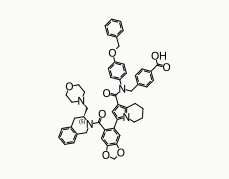 O=C(O)c1ccc(CN(C(=O)c2cc(-c3cc4c(cc3C(=O)N3Cc5ccccc5C[C@H]3CN3CCOCC3)OCO4)n3c2CCCC3)c2ccc(OCc3ccccc3)cc2)cc1